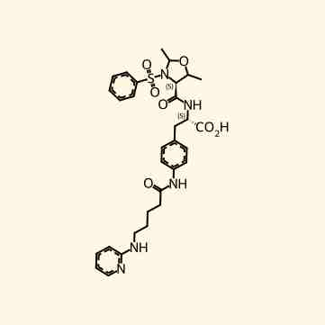 CC1OC(C)N(S(=O)(=O)c2ccccc2)[C@@H]1C(=O)N[C@@H](Cc1ccc(NC(=O)CCCCNc2ccccn2)cc1)C(=O)O